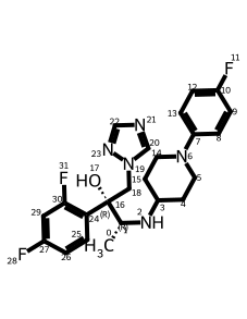 C[C@@H](NC1CCN(c2ccc(F)cc2)CC1)[C@](O)(Cn1cncn1)c1ccc(F)cc1F